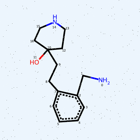 NCc1ccccc1CCC1(O)CCNCC1